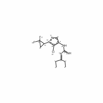 CCC(CC)=NC(=N)Nc1cnn(C2CC2(F)F)c1Cl